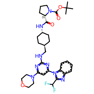 CC(C)(C)OC(=O)N1CCC[C@H]1C(=O)N[C@H]1CC[C@H](CNc2nc(N3CCOCC3)cc(-n3c(C(F)F)nc4ccccc43)n2)CC1